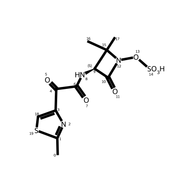 Cc1nc(C(=O)C(=O)N[C@@H]2C(=O)N(OS(=O)(=O)O)C2(C)C)cs1